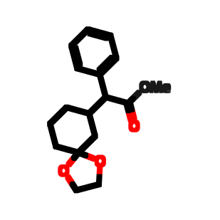 COC(=O)C(c1ccccc1)C1CCCC2(C1)OCCO2